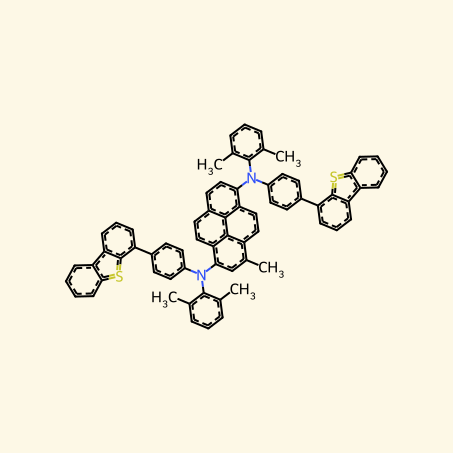 Cc1cccc(C)c1N(c1ccc(-c2cccc3c2sc2ccccc23)cc1)c1ccc2ccc3c(N(c4ccc(-c5cccc6c5sc5ccccc56)cc4)c4c(C)cccc4C)cc(C)c4ccc1c2c43